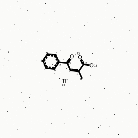 CC(=CC(=O)c1ccccc1)C(=O)[O-].[Tl+]